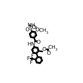 COc1cc(C(=O)Nc2ccc(-c3ccccc3C(F)(F)F)c(COC(C)=O)c2)ccc1S(N)(=O)=O